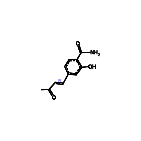 CC(=O)/C=C/c1ccc(C(N)=O)c(O)c1